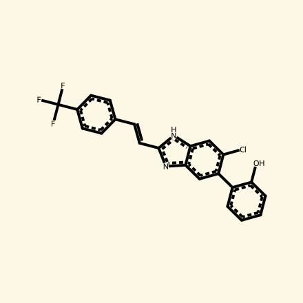 Oc1ccccc1-c1cc2nc(/C=C/c3ccc(C(F)(F)F)cc3)[nH]c2cc1Cl